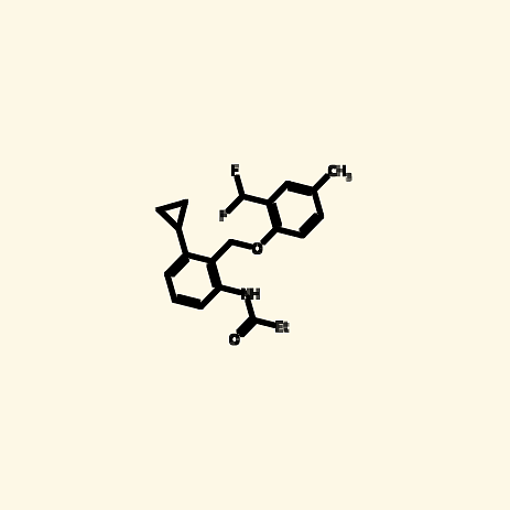 CCC(=O)Nc1cccc(C2CC2)c1COc1ccc(C)cc1C(F)F